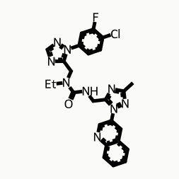 CCN(Cc1ncnn1-c1ccc(Cl)c(F)c1)C(=O)NCc1nc(C)nn1-c1cnc2ccccc2c1